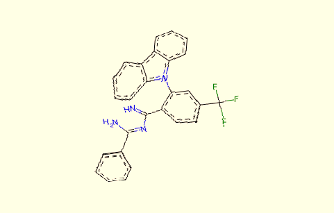 N=C(/N=C(\N)c1ccccc1)c1ccc(C(F)(F)F)cc1-n1c2ccccc2c2ccccc21